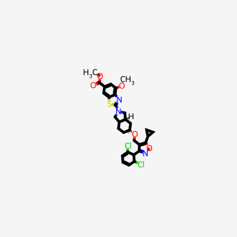 COC(=O)c1cc(OC)c2nc(N3CC4CC[C@@H](OCc5c(C6C(Cl)=CC=CC6Cl)noc5C5CC5)C[C@@H]4C3)sc2c1